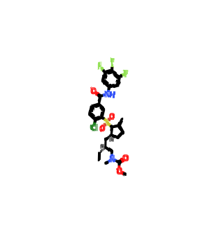 CC[C@H](C[C@@H]1CCC(C)C1S(=O)(=O)c1cc(C(=O)Nc2cc(F)c(F)c(F)c2)ccc1Cl)CN(C)C(=O)OC